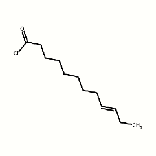 CCC=CCCCCCCCC(=O)Cl